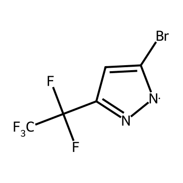 FC(F)(F)C(F)(F)C1=N[N]C(Br)=C1